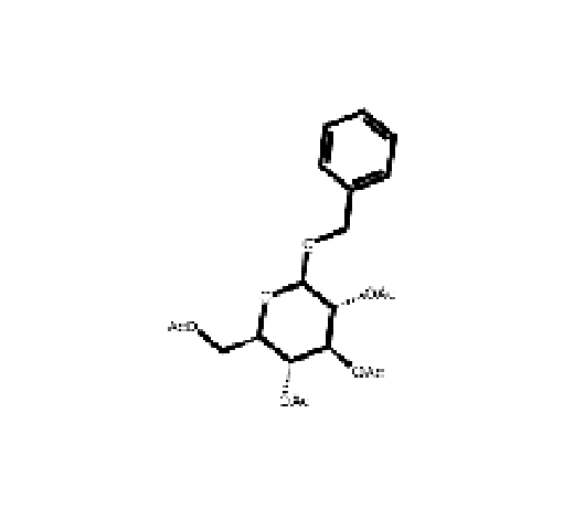 CC(=O)OC[C@H]1O[C@@H](OCc2ccccc2)[C@H](OC(C)=O)[C@@H](OC(C)=O)[C@@H]1OC(C)=O